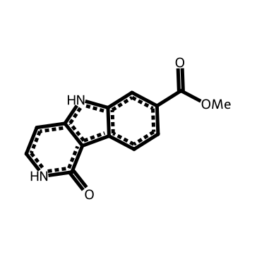 COC(=O)c1ccc2c(c1)[nH]c1cc[nH]c(=O)c12